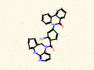 Cc1cc(NC(=O)c2ccccc2-c2ccccc2)ccc1C(=O)N1Cc2ccccc2Nc2ncccc21